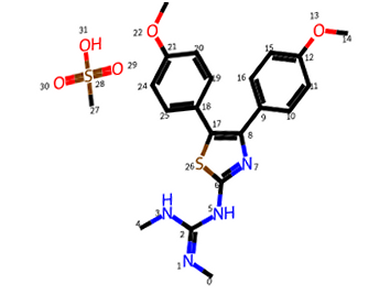 C/N=C(/NC)Nc1nc(-c2ccc(OC)cc2)c(-c2ccc(OC)cc2)s1.CS(=O)(=O)O